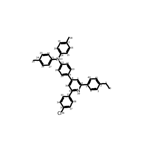 CCc1ccc(-c2cc(-c3ccc(N(c4ccc(C)cc4)c4ccc(C)cc4)cc3)cc(-c3ccc(Cl)cc3)n2)cc1